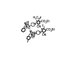 CCOC(=O)c1cc(C#N)c(N2CCC(C(=O)NS(=O)(=O)Cc3ccc(F)cc3Cl)CC2)nc1CF.CCOC(=O)c1cc(C#N)c(N2CCC(C(=O)NS(=O)(=O)Cc3ccccc3)CC2)nc1C(C)F